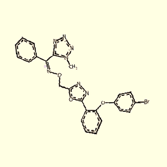 Cn1nnnc1/C(=N\OCc1nnc(-c2ccccc2Oc2ccc(Br)cc2)o1)c1ccccc1